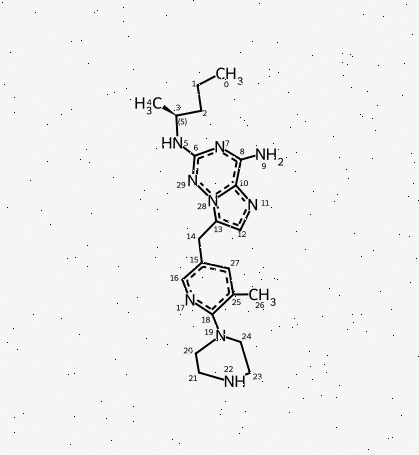 CCC[C@H](C)Nc1nc(N)c2ncc(Cc3cnc(N4CCNCC4)c(C)c3)n2n1